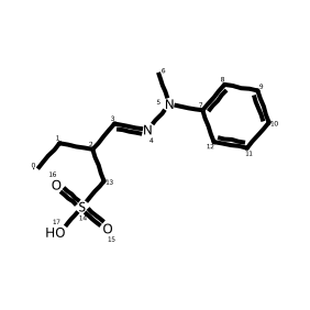 [CH2]CC(C=NN(C)c1ccccc1)CS(=O)(=O)O